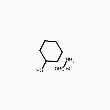 Cl.NC=O.OC1CCCCC1